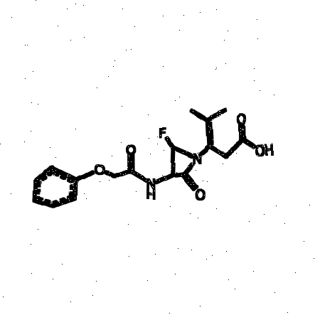 CC(C)=C(CC(=O)O)N1C(=O)C(NC(=O)COc2ccccc2)C1F